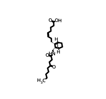 CCCCCC(=O)CCC(=O)NC[C@@H]1[C@H](CC/C=C\CCCC(=O)O)[C@@H]2CC[C@H]1O2